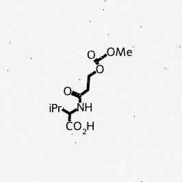 COC(=O)OCCC(=O)NC(C(=O)O)C(C)C